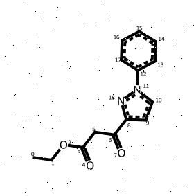 CCOC(=O)CC(=O)c1ccn(-c2ccccc2)n1